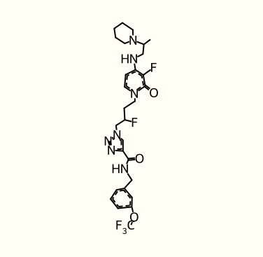 CC(CNc1ccn(CCC(F)Cn2cc(C(=O)NCc3cccc(OC(F)(F)F)c3)nn2)c(=O)c1F)N1CCCCC1